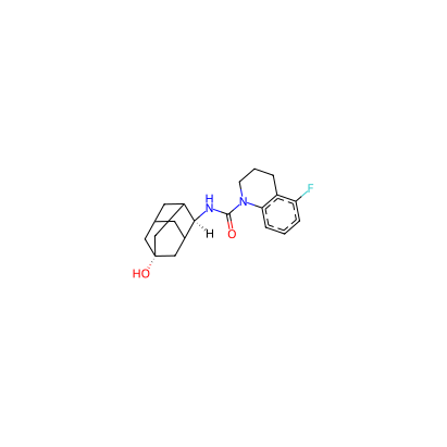 O=C(N[C@H]1C2CC3CC1C[C@](O)(C3)C2)N1CCCc2c(F)cccc21